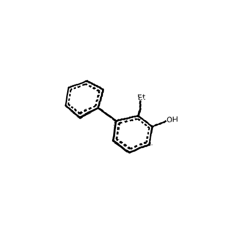 CCc1c(O)[c]ccc1-c1ccccc1